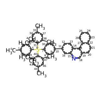 Cc1cc(C)c(S(c2ccc(-c3ccc4c(c3)ncc3ccc5ccccc5c34)cc2)(c2c(C)cc(C)cc2C)c2c(C)cc(C)cc2C)c(C)c1